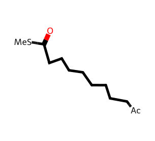 CSC(=O)CCCCCCCCC(C)=O